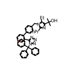 CCCc1nc(C(C)(C)O)c(CC)n1Cc1ccc(-c2ccccc2-c2nnnn2C(c2ccccc2)(c2ccccc2)c2ccccc2)cc1